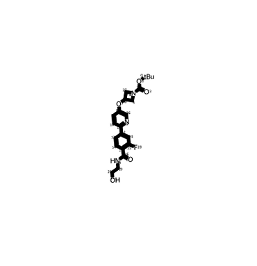 CC(C)(C)OC(=O)N1CC(Oc2ccc(-c3ccc(C(=O)NCCO)c(F)c3)nc2)C1